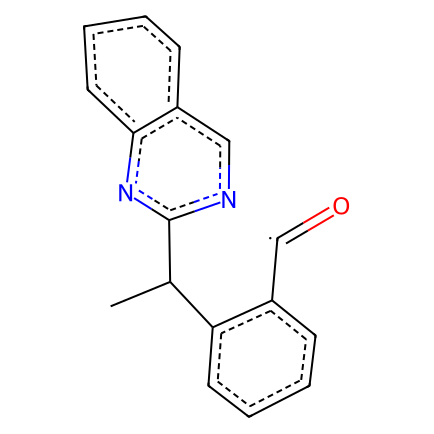 CC(c1ncc2ccccc2n1)c1ccccc1[C]=O